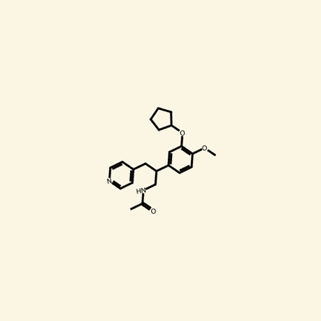 COc1ccc(C(CNC(C)=O)Cc2ccncc2)cc1OC1CCCC1